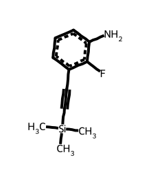 C[Si](C)(C)C#Cc1cccc(N)c1F